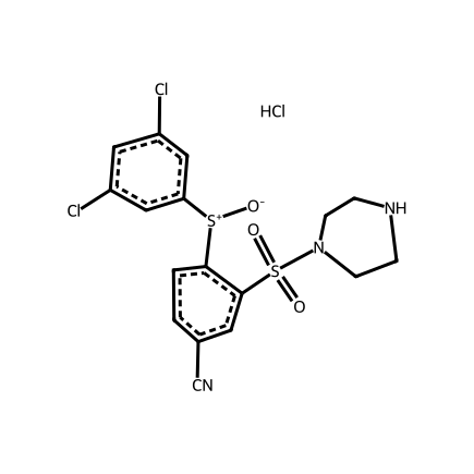 Cl.N#Cc1ccc([S+]([O-])c2cc(Cl)cc(Cl)c2)c(S(=O)(=O)N2CCNCC2)c1